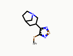 CCCSc1nsnc1C1CC2CCN(C2)C1